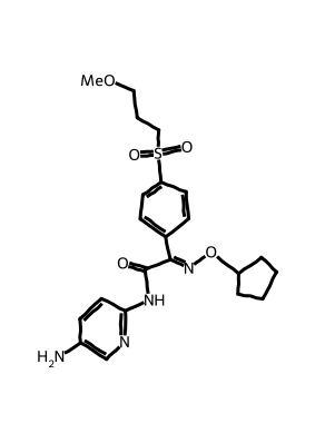 COCCCS(=O)(=O)c1ccc(/C(=N\OC2CCCC2)C(=O)Nc2ccc(N)cn2)cc1